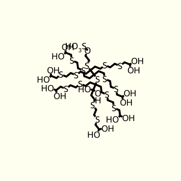 O=S(=O)(O)OCCSC(CCSCCSCC(O)O)(CCSCCSCC(O)O)C(CCSCCSCC(O)O)(CCSCCSCC(O)O)SC(CCSCCSCC(O)O)(CCSCCSCC(O)O)C(O)(O)CCSCCSCC(O)O